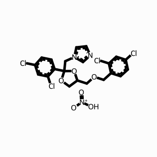 Clc1ccc(COCC2COC(Cn3ccnc3)(c3ccc(Cl)cc3Cl)O2)c(Cl)c1.O=[N+]([O-])O